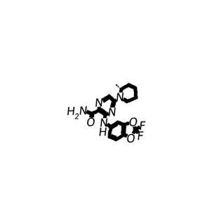 C[C@@H]1CCCCN1c1cnc(C(N)=O)c(Nc2ccc3c(c2)OC(F)(F)O3)n1